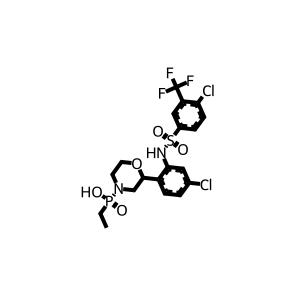 CCP(=O)(O)N1CCOC(c2ccc(Cl)cc2NS(=O)(=O)c2ccc(Cl)c(C(F)(F)F)c2)C1